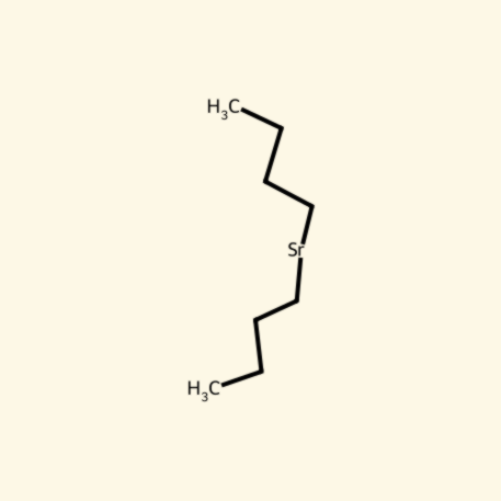 CCC[CH2][Sr][CH2]CCC